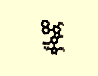 COc1cc2c(cc1-c1c(C)noc1C)[nH]c1nc(C)nc(-c3cccc4cccnc34)c12